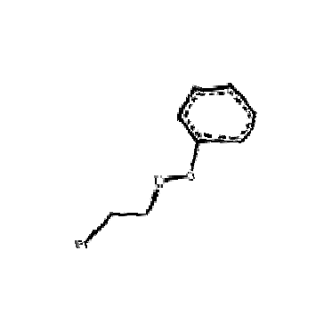 CC(C)CCOOc1ccccc1